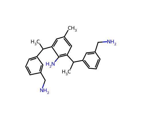 Cc1cc(C(C)c2cccc(CN)c2)c(N)c(C(C)c2cccc(CN)c2)c1